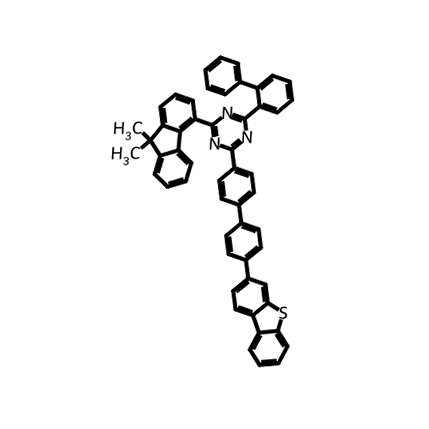 CC1(C)c2ccccc2-c2c(-c3nc(-c4ccc(-c5ccc(-c6ccc7c(c6)sc6ccccc67)cc5)cc4)nc(-c4ccccc4-c4ccccc4)n3)cccc21